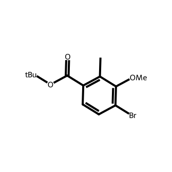 COc1c(Br)ccc(C(=O)OC(C)(C)C)c1C